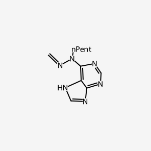 C=NN(CCCCC)c1ncnc2nc[nH]c12